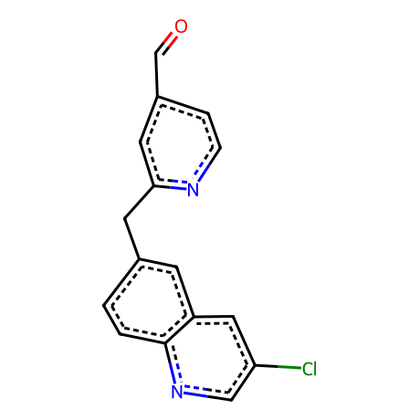 O=Cc1ccnc(Cc2ccc3ncc(Cl)cc3c2)c1